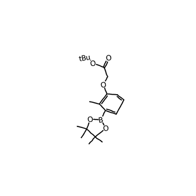 Cc1c(OCC(=O)OC(C)(C)C)cccc1B1OC(C)(C)C(C)(C)O1